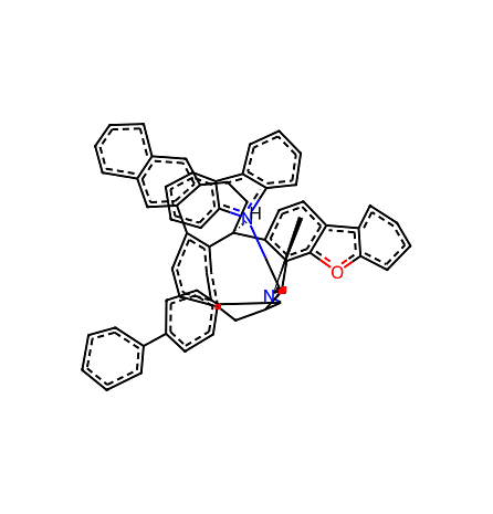 C[C@H]1C/C=C2\c3c(ccc4c3oc3ccccc34)[C@@H]3CCc4cc5ccccc5cc4-c4ccc(cc43)CC2C(c2ccc(-c3ccccc3)cc2)/N=C\1n1c2ccccc2c2ccccc21